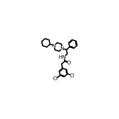 O=C(Cc1cc(Cl)cc(Cl)c1)NCC(c1ccccc1)N1CCN(C2CCCCC2)CC1